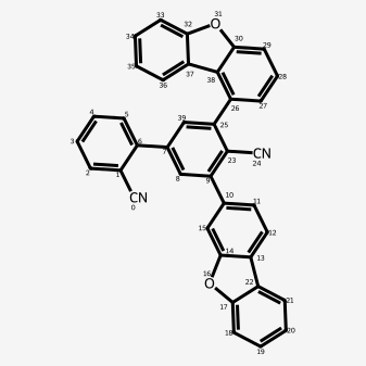 N#Cc1ccccc1-c1cc(-c2ccc3c(c2)oc2ccccc23)c(C#N)c(-c2cccc3oc4ccccc4c23)c1